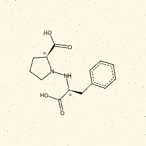 O=C(O)[C@H](Cc1ccccc1)NN1CCC[C@H]1C(=O)O